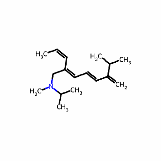 C=C(/C=C/C=C(\C=C/C)CN(C)C(C)C)C(C)C